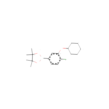 CC1(C)OB(c2ccc(Cl)c(OC3CCCCC3)c2)OC1(C)C